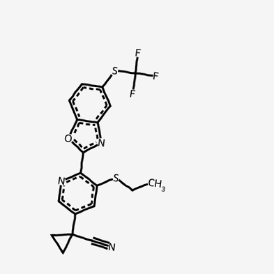 CCSc1cc(C2(C#N)CC2)cnc1-c1nc2cc(SC(F)(F)F)ccc2o1